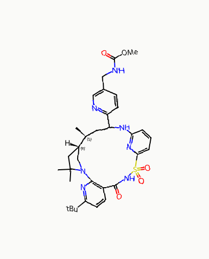 COC(=O)NCc1ccc(C2C[C@H](C)[C@@H]3CN(c4nc(C(C)(C)C)ccc4C(=O)NS(=O)(=O)c4cccc(n4)N2)C(C)(C)C3)nc1